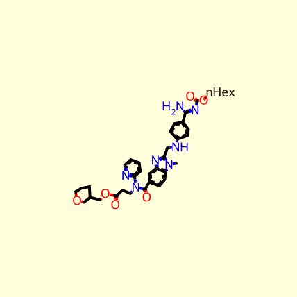 CCCCCCOC(=O)/N=C(\N)c1ccc(NCc2nc3cc(C(=O)N(CCC(=O)OCC4CCCOC4)c4ccccn4)ccc3n2C)cc1